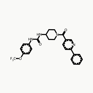 O=C(Nc1ccc(OC(F)(F)F)cc1)NC1CCN(C(=O)c2ccc(-c3ccccc3)nc2)CC1